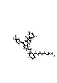 NCCSSCCc1ccccc1Cn1nnc2c(N3CCC(F)(F)C3)nc(C(F)(F)c3ccccc3)nc21